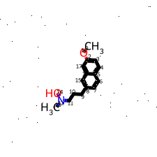 COc1ccc2ccc(CCCN(C)O)cc2c1